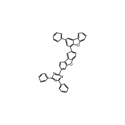 c1ccc(-c2cc(-c3ccc4oc5cc(-c6nc(-c7ccccc7)nc(-c7ccccc7)n6)ccc5c4c3)c3oc4ccccc4c3c2)cc1